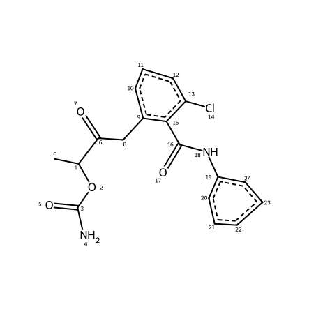 CC(OC(N)=O)C(=O)Cc1cccc(Cl)c1C(=O)Nc1ccccc1